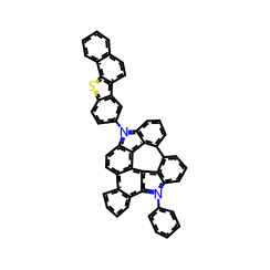 c1ccc(-n2c3cccc4c3c3c5c(ccc6c5c5c-4cccc5n6-c4ccc5sc6c7ccccc7ccc6c5c4)c4ccccc4c32)cc1